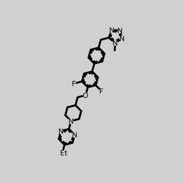 CCc1cnc(N2CCC(COc3c(F)cc(-c4ccc(Cc5nnnn5C)cc4)cc3F)CC2)nc1